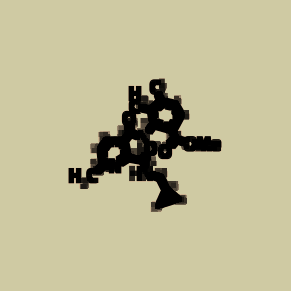 COC(=O)c1ccc(Cl)c(C)c1NC(=O)c1ccc(C)nc1C(=O)NCC1CC1